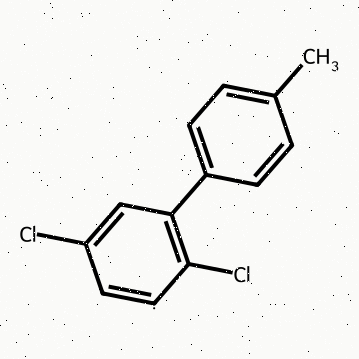 Cc1ccc(-c2cc(Cl)c[c]c2Cl)cc1